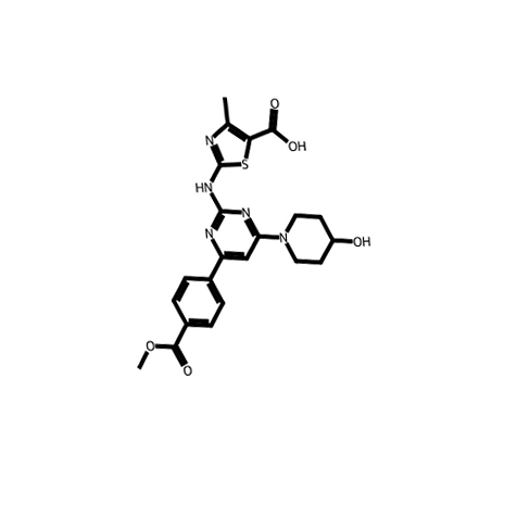 COC(=O)c1ccc(-c2cc(N3CCC(O)CC3)nc(Nc3nc(C)c(C(=O)O)s3)n2)cc1